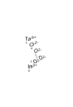 [In+3].[O-2].[O-2].[O-2].[O-2].[Ta+5]